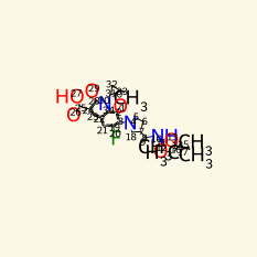 COc1c(N2CC[C@@H]([C@H](C)NC(=O)OC(C)(C)C)C2)c(F)cc2cc(C(=O)O)c(=O)n(C3CC3)c12